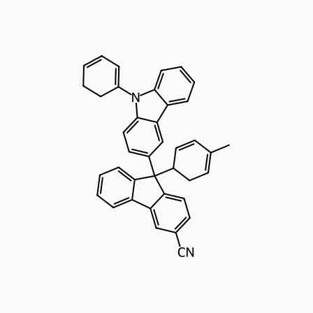 CC1=CCC(C2(c3ccc4c(c3)c3ccccc3n4C3=CC=CCC3)c3ccccc3-c3cc(C#N)ccc32)C=C1